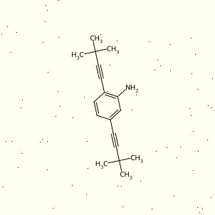 CC(C)(C)C#Cc1ccc(C#CC(C)(C)C)c(N)c1